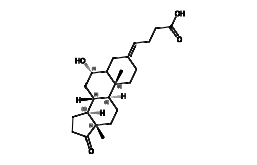 C[C@]12CCC(=CCCC(=O)O)CC1[C@@H](O)C[C@@H]1[C@@H]2CC[C@]2(C)C(=O)CC[C@@H]12